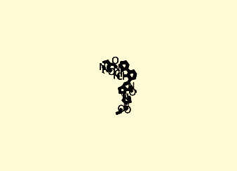 CCOC(=O)[C@H]1CCN([C@H]2CCc3cc(-c4cccc(-c5cccc(NC(=O)c6ccnn(C)c6=O)c5Cl)c4Cl)nc(OC)c32)C1